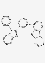 C1=CC2Sc3c(-c4cccc(-c5nc6ccccc6n5-c5ccccc5)c4)cccc3C2C=C1